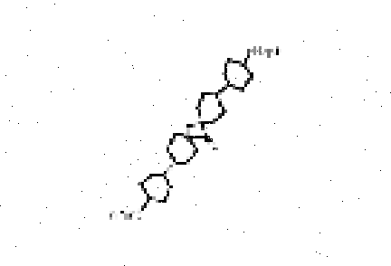 CCCCCCCC1CCC(C2CC[C@]3(CC2)C[C@@]2(CC[C@H](C4CCC(CCCCC)CC4)CC2)C3=O)CC1